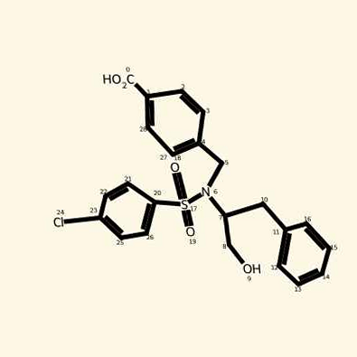 O=C(O)c1ccc(CN(C(CO)Cc2ccccc2)S(=O)(=O)c2ccc(Cl)cc2)cc1